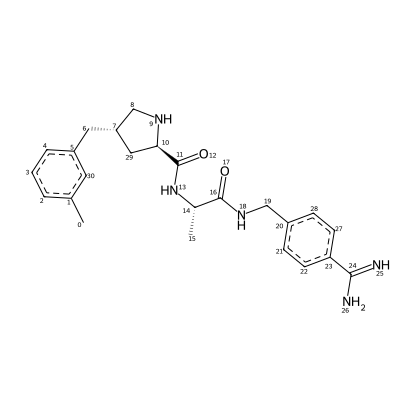 Cc1cccc(C[C@@H]2CN[C@@H](C(=O)N[C@@H](C)C(=O)NCc3ccc(C(=N)N)cc3)C2)c1